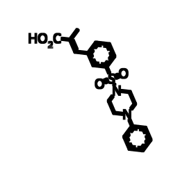 CC(=Cc1cccc(S(=O)(=O)N2CCN(c3ccccc3)CC2)c1)C(=O)O